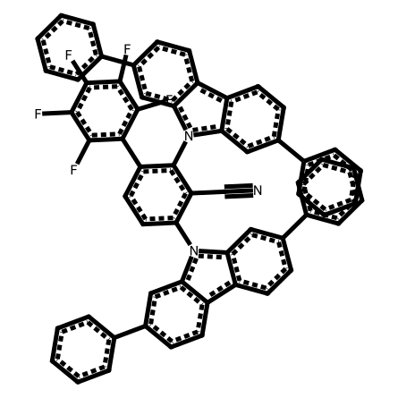 N#Cc1c(-n2c3cc(-c4ccccc4)ccc3c3ccc(-c4ccccc4)cc32)ccc(-c2c(F)c(F)c(F)c(F)c2F)c1-n1c2cc(-c3ccccc3)ccc2c2ccc(-c3ccccc3)cc21